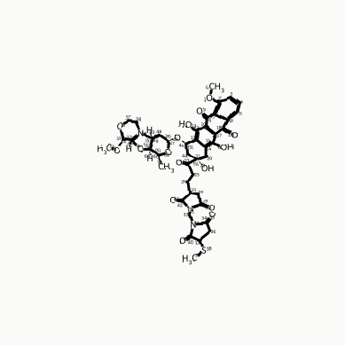 COc1cccc2c1C(=O)c1c(O)c3c(c(O)c1C2=O)C[C@@](O)(C(=O)CCC1CC(=O)N(CN2C(=O)CC(SC)C2=O)C1=O)C[C@@H]3O[C@H]1C[C@H]2[C@H](O[C@@H]3[C@@H](OC)OCCN32)[C@H](C)O1